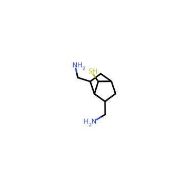 NCC1CC2CC(CN)C1C2S